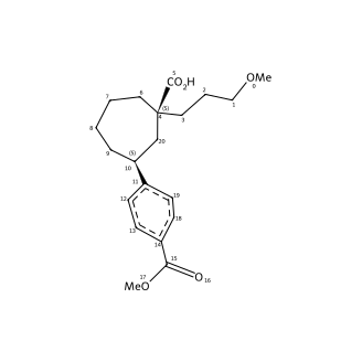 COCCC[C@@]1(C(=O)O)CCCC[C@H](c2ccc(C(=O)OC)cc2)C1